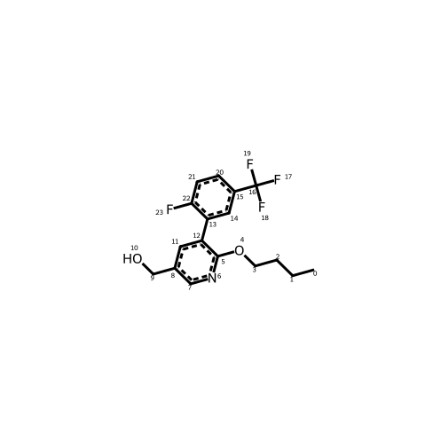 CCCCOc1ncc(CO)cc1-c1cc(C(F)(F)F)ccc1F